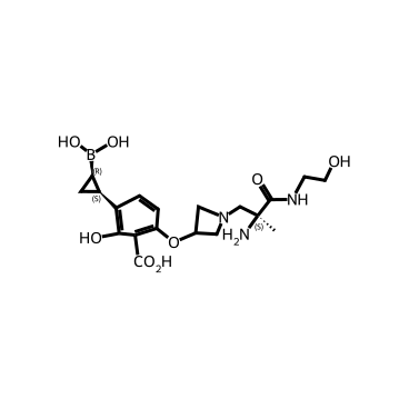 C[C@](N)(CN1CC(Oc2ccc([C@H]3C[C@H]3B(O)O)c(O)c2C(=O)O)C1)C(=O)NCCO